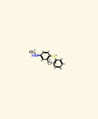 CC(C)(C)Nc1ccc(Sc2ccccc2)c(C(F)(F)F)c1